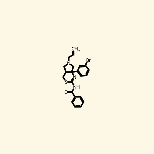 C=CCN1CC2CSC(NC(=O)c3ccccc3)=NC2(c2cccc(Br)c2)C1